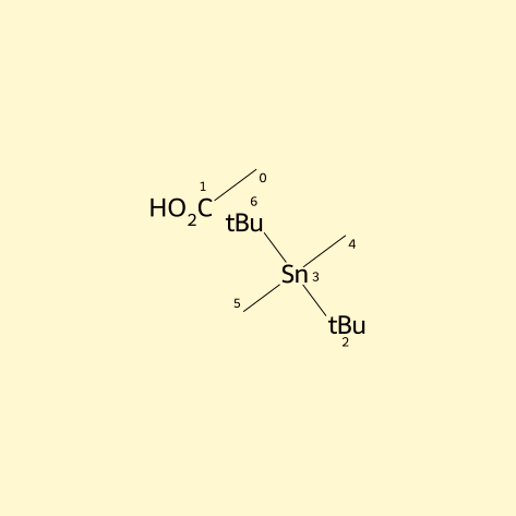 CC(=O)O.C[C](C)(C)[Sn]([CH3])([CH3])[C](C)(C)C